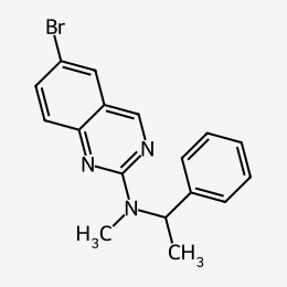 CC(c1ccccc1)N(C)c1ncc2cc(Br)ccc2n1